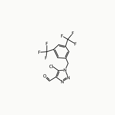 O=Cc1nnn(Cc2cc(C(F)(F)F)cc(C(F)(F)F)c2)c1Cl